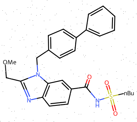 CCCCS(=O)(=O)NC(=O)c1ccc2nc(COC)n(Cc3ccc(-c4ccccc4)cc3)c2c1